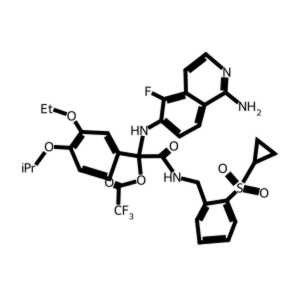 CCOc1cc(C(Nc2ccc3c(N)nccc3c2F)(OC(=O)C(F)(F)F)C(=O)NCc2ccccc2S(=O)(=O)C2CC2)ccc1OC(C)C